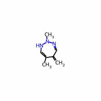 C=C1C=NN(C)NC=C1C